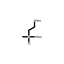 CCCCCCCC[Si](C)(Cl)CCCCCC